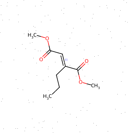 CCC/C(=C\C(=O)OC)C(=O)OC